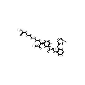 CCN(CC)Cc1ccccc1CNC(=O)c1cccc(C(CCCCCCCC(N)=O)C(N)=O)c1